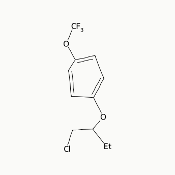 CCC(CCl)Oc1ccc(OC(F)(F)F)cc1